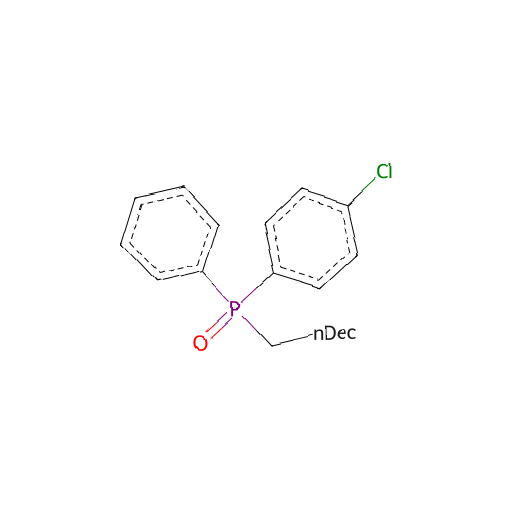 CCCCCCCCCCCP(=O)(c1ccccc1)c1ccc(Cl)cc1